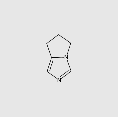 c1ncn2c1CCC2